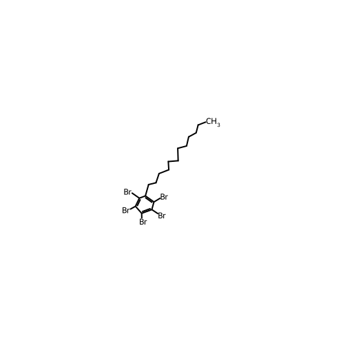 CCCCCCCCCCCCc1c(Br)c(Br)c(Br)c(Br)c1Br